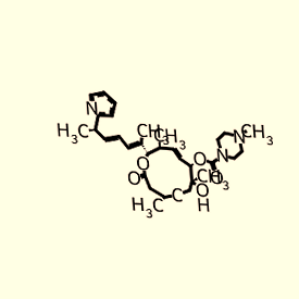 C/C(=C\C=C\[C@@H](C)c1ccccn1)[C@H]1OC(=O)C[C@H](C)CC[C@@](C)(O)[C@@H](OC(=O)N2CCN(C)CC2)/C=C/[C@@H]1C